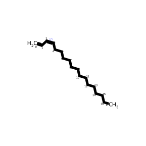 C=C/C=C\CCCCCCCCCCCCCC